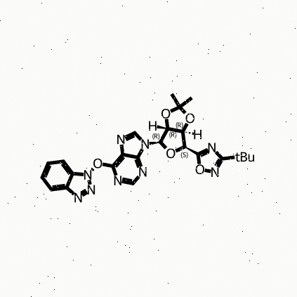 CC1(C)O[C@@H]2[C@@H](O1)[C@H](n1cnc3c(On4nnc5ccccc54)ncnc31)O[C@@H]2c1nc(C(C)(C)C)no1